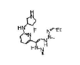 C=NN/C(=C\NN(C)/N=C\CC)c1cccc(N[C@H]2CNC[C@@H]2F)n1